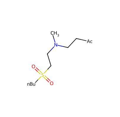 CCCCS(=O)(=O)CCN(C)CCC(C)=O